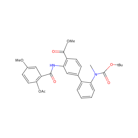 COC(=O)c1ccc(-c2ccccc2N(C)C(=O)OC(C)(C)C)cc1NC(=O)c1cc(OC)ccc1OC(C)=O